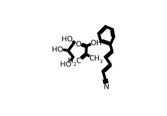 C=C(C)C(=O)O.N#CC=CC=Cc1ccccc1.OCC(O)CO